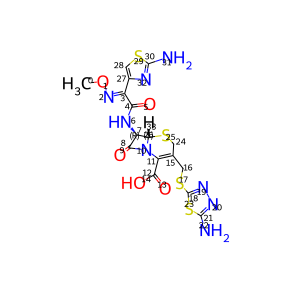 CON=C(C(=O)N[C@@H]1C(=O)N2C(C(=O)O)=C(CSc3nnc(N)s3)CS[C@@H]12)c1csc(N)n1